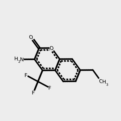 CCc1ccc2c(C(F)(F)F)c(N)c(=O)oc2c1